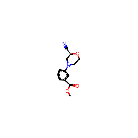 COC(=O)c1cccc(N2CCO[C@H](C#N)C2)c1